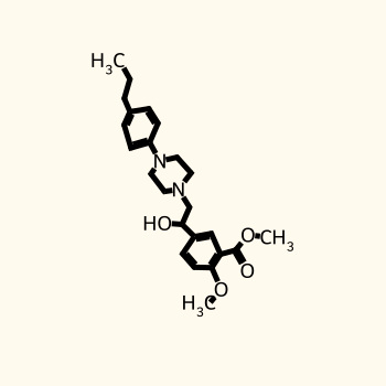 CCCc1ccc(N2CCN(CC(O)c3ccc(OC)c(C(=O)OC)c3)CC2)cc1